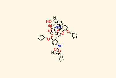 CC(C)(C)OC(=O)Nc1ccc(C(=O)OCc2ccccc2)c(CCCOc2c(OCc3ccccc3)cccc2C(=O)NC(C(=O)O)(C(C(=O)O)C(C)(C)C)C(C)(C)C)c1